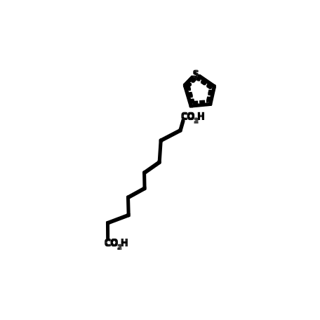 O=C(O)CCCCCCCCC(=O)O.c1ccsc1